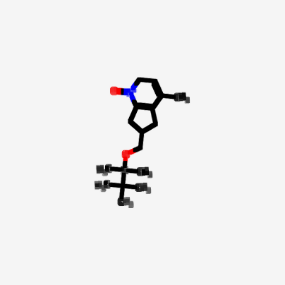 CC1=CC[N+](=O)C2=C1CC(CO[Si](C)(C)C(C)(C)C)C2